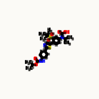 CC(C)OC(=O)NC1CCC(c2ncc(-c3ccc(N(C(=O)O)C(C)C)cc3S(=O)(=O)C(C)(C)C)s2)CC1